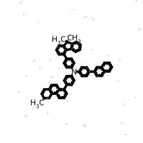 CC1C=Cc2ccc3c(-c4ccc(N(c5ccc(-c6ccc7ccccc7c6)cc5)c5ccc(-c6cccc7c6-c6ccccc6C7(C)C)cc5)cc4)cccc3c2C1